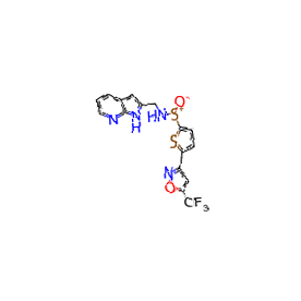 [O-][S+](NCc1cc2cccnc2[nH]1)c1ccc(-c2cc(C(F)(F)F)on2)s1